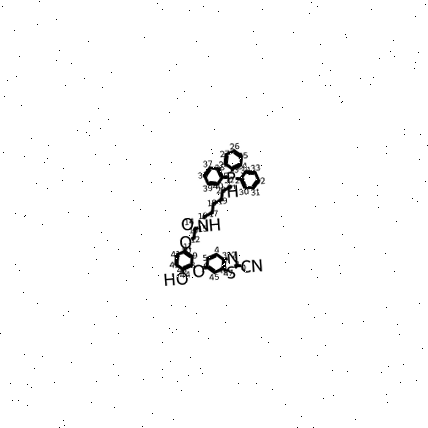 N#Cc1nc2ccc(Oc3cc(OCC(=O)NCCCCCC[PH](c4ccccc4)(c4ccccc4)c4ccccc4)ccc3O)cc2s1